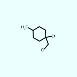 CCC1(CCl)CCC(C)CC1